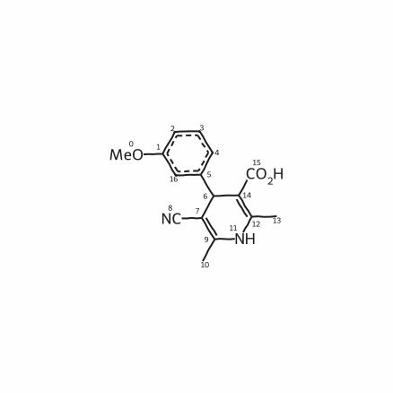 COc1cccc(C2C(C#N)=C(C)NC(C)=C2C(=O)O)c1